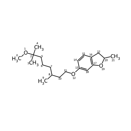 COC(C)(C)CCCC(C)CCOc1ccc2c(c1)OC(C)C2